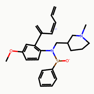 C=C/C=C\C(=C)c1cc(OC)ccc1N(CC1CCCN(C)C1)[S+]([O-])c1ccccc1